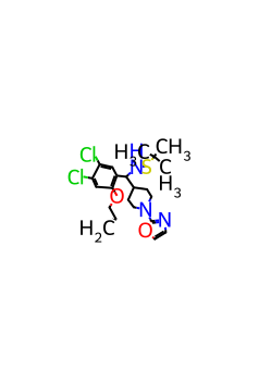 C=CCOc1cc(Cl)c(Cl)cc1C(NSC(C)(C)C)C1CCN(c2ncco2)CC1